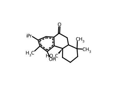 Cc1c(C(C)C)cc2c(c1O)[C@@]1(C(=O)O)CCCC(C)(C)C1CC2=O